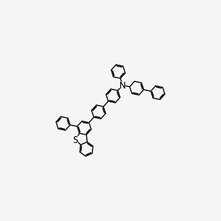 C1=CC(N(c2ccccc2)c2ccc(-c3ccc(-c4cc(-c5ccccc5)c5sc6ccccc6c5c4)cc3)cc2)CC=C1c1ccccc1